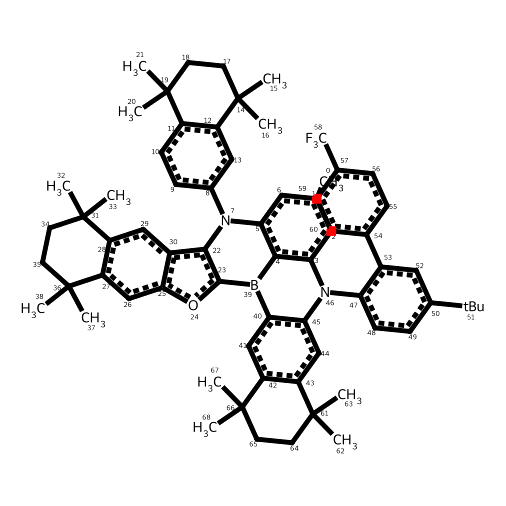 Cc1cc2c3c(c1)N(c1ccc4c(c1)C(C)(C)CCC4(C)C)c1c(oc4cc5c(cc14)C(C)(C)CCC5(C)C)B3c1cc3c(cc1N2c1ccc(C(C)(C)C)cc1-c1ccc(C(F)(F)F)cc1)C(C)(C)CCC3(C)C